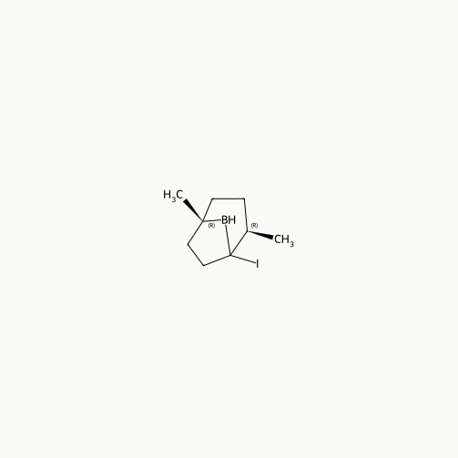 C[C@@H]1CC[C@]2(C)BC1(I)CC2